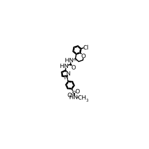 CNS(=O)(=O)c1ccc(-n2ccc(NC(=O)N[C@H]3CCOc4c(Cl)cccc43)n2)cc1